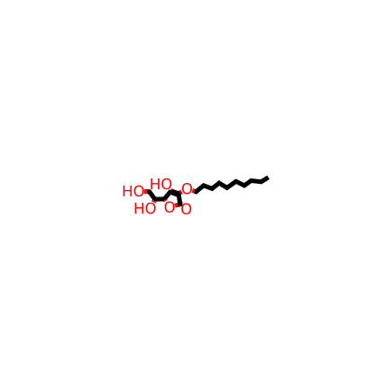 CCCCCCCCCCOC1=C(O)C(C(O)CO)OC1=O